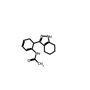 CC(=O)NC1=CC=CCC1c1n[nH]c2c1CCCC2